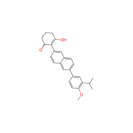 COc1ccc(-c2ccc3cc(C4=C(O)CCCC4=O)ccc3c2)cc1C(C)C